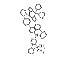 CC1(C)c2ccccc2-c2ccc(N(c3ccc(-c4ccc5c(c4)C4(c6ccccc6-5)c5ccccc5C(c5ccccc5)(c5ccccc5)c5ccccc54)cc3)c3ccccc3-c3ccccc3)cc21